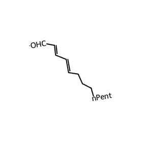 CCCCCCCC/C=C/C=C/[C]=O